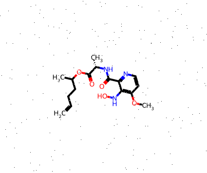 C=CCCC(C)OC(=O)[C@H](C)NC(=O)c1nccc(OC)c1NO